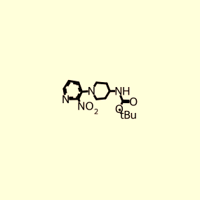 CC(C)(C)OC(=O)NC1CCN(c2cccnc2[N+](=O)[O-])CC1